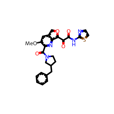 COc1cc2coc(C(=O)C(=O)Nc3nccs3)c2nc1C(=O)N1CCC(Cc2ccccc2)C1